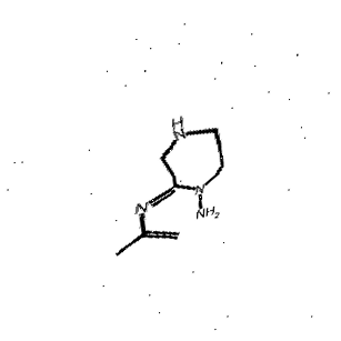 C=C(C)/N=C1/CNCCN1N